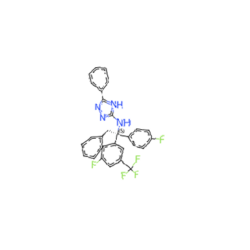 Fc1ccc([C@](Cc2ccccc2)(Nc2nnc(-c3ccccc3)[nH]2)c2cc(F)cc(C(F)(F)F)c2)cc1